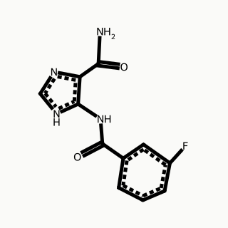 NC(=O)c1nc[nH]c1NC(=O)c1cccc(F)c1